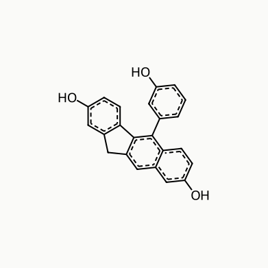 Oc1cccc(-c2c3c(cc4cc(O)ccc24)Cc2cc(O)ccc2-3)c1